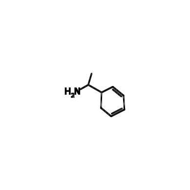 CC(N)C1C=CC=CC1